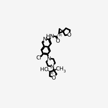 C[C@@]1(N2CCN(c3cc4cc(NC(=O)[C@@H]5C[C@]56CCOC6)ncc4cc3Cl)CC2)COC[C@@H]1O